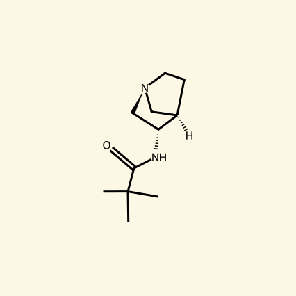 CC(C)(C)C(=O)N[C@@H]1C[N@@]2CC[C@@H]1C2